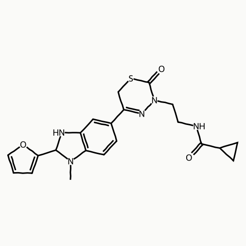 CN1c2ccc(C3=NN(CCNC(=O)C4CC4)C(=O)SC3)cc2NC1c1ccco1